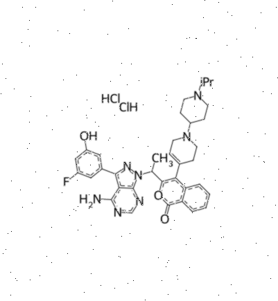 CC(C)N1CCC(N2CC=C(c3c(C(C)n4nc(-c5cc(O)cc(F)c5)c5c(N)ncnc54)oc(=O)c4ccccc34)CC2)CC1.Cl.Cl